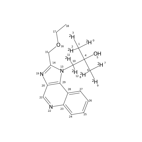 [2H]C([2H])([2H])C(O)(C([2H])([2H])[2H])C([2H])([2H])n1c(COCC)nc2cnc3ccccc3c21